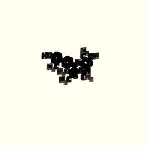 Cc1cc(O)ccc1-c1ccc(C2=N[C@@H](C(C)C(=O)O)c3nnc(C)n3-c3sc(C)c(C)c32)cc1